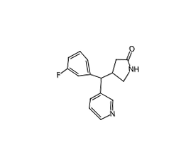 O=C1CC(C(c2cccnc2)c2cccc(F)c2)CN1